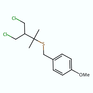 COc1ccc(CSC(C)(C)C(CCl)CCl)cc1